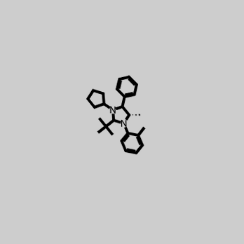 Cc1ccccc1N1C(C(C)(C)C)N(C2CCCC2)C(c2ccccc2)[C@@H]1C